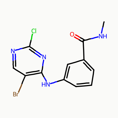 CNC(=O)c1cccc(Nc2nc(Cl)ncc2Br)c1